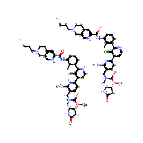 COc1nc(-c2ccnc(-c3cccc(NC(=O)c4cc5c(cn4)CN(CCCF)CC5)c3C)c2Cl)ccc1CN(C[C@@H]1CCC(=O)N1)C(=O)OC(C)(C)C.COc1nc(-c2ccnc(-c3cccc(NC(=O)c4cc5c(cn4)CN(CCCF)CC5)c3C)c2Cl)ccc1CN(C[C@@H]1CCC(=O)N1)C(=O)OC(C)(C)C